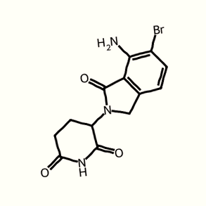 Nc1c(Br)ccc2c1C(=O)N(C1CCC(=O)NC1=O)C2